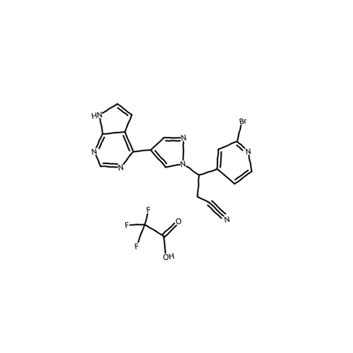 N#CCC(c1ccnc(Br)c1)n1cc(-c2ncnc3[nH]ccc23)cn1.O=C(O)C(F)(F)F